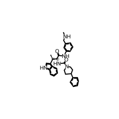 CNCc1cccc(NC(=O)[C@H](NC(=O)N2CCC(c3ccccc3)CC2)[C@H](C)c2c[nH]c3ccccc23)c1